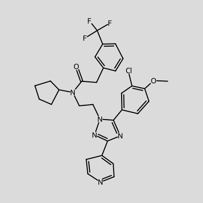 COc1ccc(-c2nc(-c3ccncc3)nn2CCN(C(=O)Cc2cccc(C(F)(F)F)c2)C2CCCC2)cc1Cl